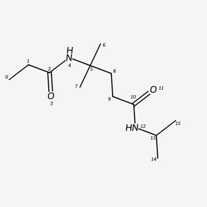 CCC(=O)NC(C)(C)CCC(=O)NC(C)C